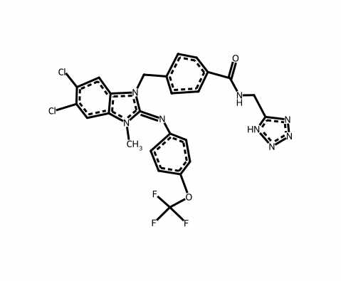 Cn1/c(=N\c2ccc(OC(F)(F)F)cc2)n(Cc2ccc(C(=O)NCc3nnn[nH]3)cc2)c2cc(Cl)c(Cl)cc21